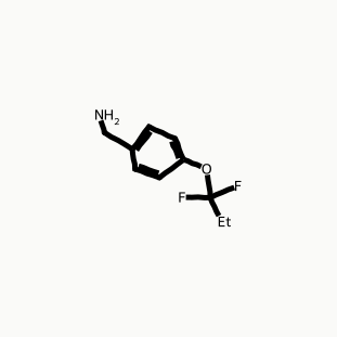 CCC(F)(F)Oc1ccc(CN)cc1